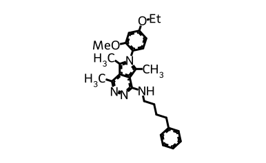 CCOc1ccc(-n2c(C)c3c(C)nnc(NCCCCc4ccccc4)c3c2C)c(OC)c1